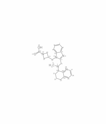 CN(Cc1nc2ccccc2n1CC1CN(C(=O)O)C1)C1CCCc2cccnc21